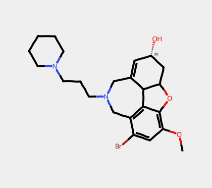 COc1cc(Br)c2c3c1OC1C[C@@H](O)C=C(CN(CCCN4CCCCC4)C2)C31